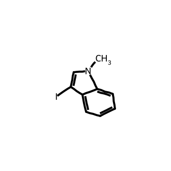 Cn1cc(I)c2ccccc21